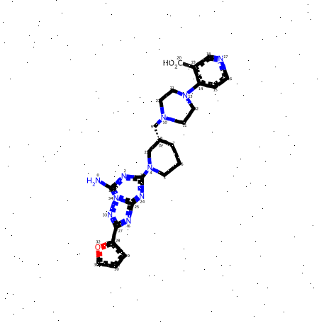 Nc1nc(N2CCC[C@@H](CN3CCN(c4ccncc4C(=O)O)CC3)C2)nc2nc(-c3ccco3)nn12